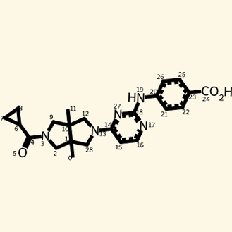 CC12CN(C(=O)C3CC3)CC1(C)CN(c1ccnc(Nc3ccc(C(=O)O)cc3)n1)C2